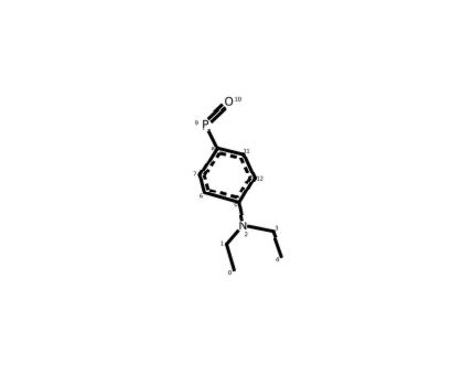 CCN(CC)c1ccc(P=O)cc1